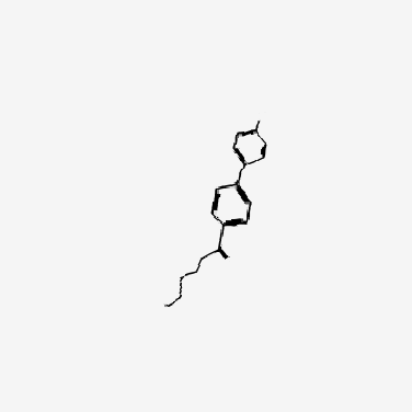 O=C(CCCCCl)c1c[c]c(-c2ccc(Cl)cc2)cc1